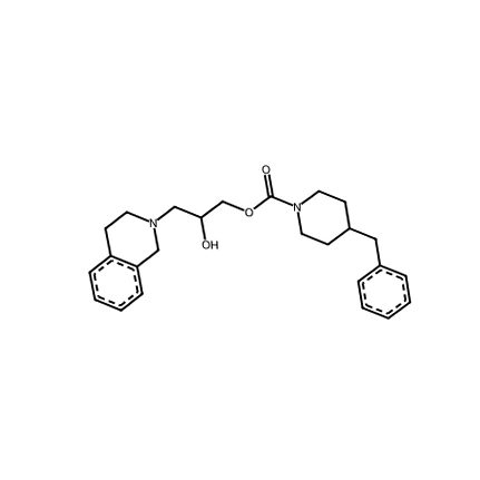 O=C(OCC(O)CN1CCc2ccccc2C1)N1CCC(Cc2ccccc2)CC1